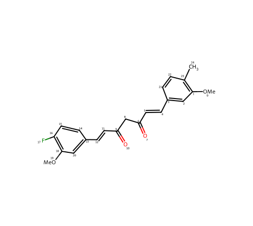 COc1cc(/C=C/C(=O)CC(=O)/C=C/c2ccc(F)c(OC)c2)ccc1C